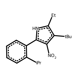 CCc1[nH]c(-c2ccccc2C(C)C)c([N+](=O)[O-])c1C(C)(C)C